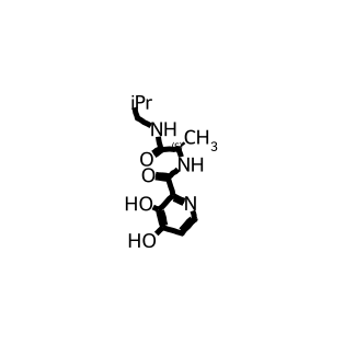 CC(C)CNC(=O)[C@H](C)NC(=O)c1nccc(O)c1O